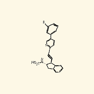 O=C(O)N[C@H]1Cc2ccccc2[C@@H]1C=Cc1ccc(-c2cccc(F)c2)cn1